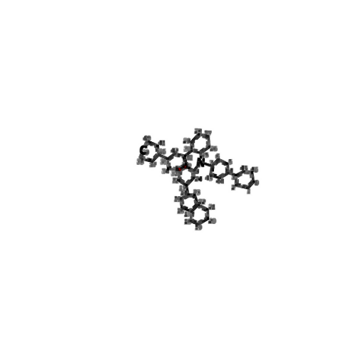 c1ccc(-c2ccc(N(c3cccc(-c4ccc5ccccc5c4)c3)c3ccccc3-c3cccc(-c4ccccc4)c3)cc2)cc1